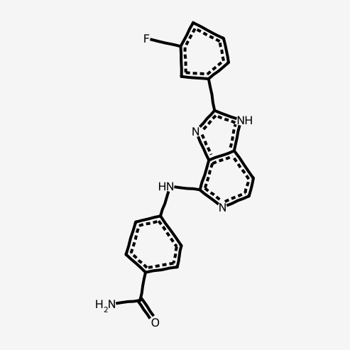 NC(=O)c1ccc(Nc2nccc3[nH]c(-c4cccc(F)c4)nc23)cc1